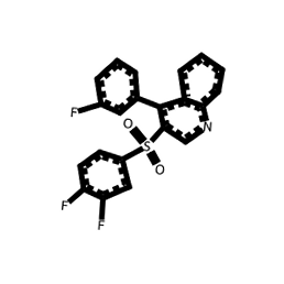 O=S(=O)(c1ccc(F)c(F)c1)c1cnc2ccccc2c1-c1cccc(F)c1